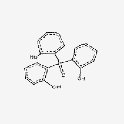 O=P(c1ccccc1O)(c1ccccc1O)c1ccccc1O